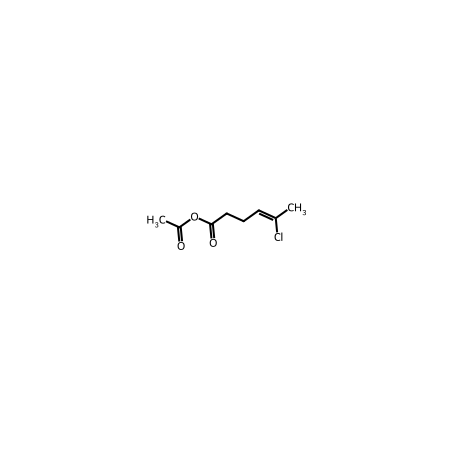 CC(=O)OC(=O)CCC=C(C)Cl